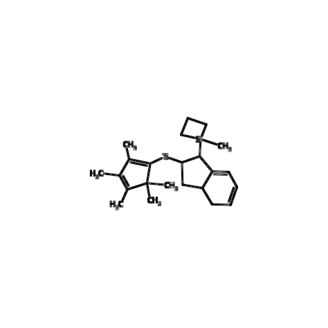 CC1=C(C)C(C)(C)[C]([Ti][CH]2CC3CC=CC=C3C2[Si]2(C)CCC2)=C1C